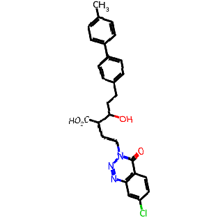 Cc1ccc(-c2ccc(CCC(O)C(CCn3nnc4cc(Cl)ccc4c3=O)C(=O)O)cc2)cc1